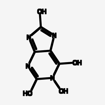 Oc1nc2nc(O)n(O)c(O)c-2n1